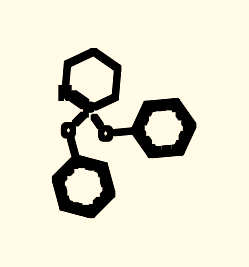 c1ccc(OP2(Oc3ccccc3)=NCCCC2)cc1